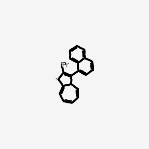 CC(C)C1=C(c2cccc3ccccc23)C2C=CC=CC=C2[C]1